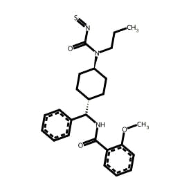 CCCN(C(=O)N=S)[C@H]1CC[C@H](C(NC(=O)c2ccccc2OC)c2ccccc2)CC1